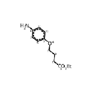 CCOC(=O)CCCOc1ccc(N)cc1